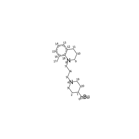 CCCCC1CCN(CCCN2CCCc3cccc(C)c32)CC1